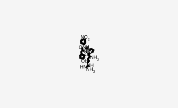 N=C(N)NCCC[C@H](N)C(=O)N1CCC[C@H]1C(=O)N[C@@H](Cc1ccc(O)cc1)C(=O)Nc1ccc([N+](=O)[O-])cc1